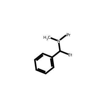 CCC(c1ccccc1)N(C)C(C)C